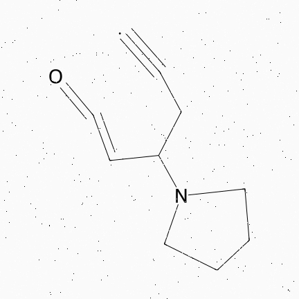 [C]#CCC(C=C=O)N1CCCC1